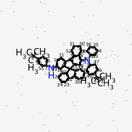 CC(C)(C)c1ccc(Nc2ccc3c(c2)C2(c4ccccc4-c4ccccc42)c2cc(N(c4ccccc4)c4ccc(C(C)(C)C)cc4)c4ccccc4c2-3)cc1